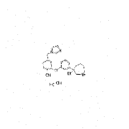 CCC1(c2cccc(Oc3cc(Cn4ccnc4)ccc3C#N)c2)CCCCNC1.Cl.Cl